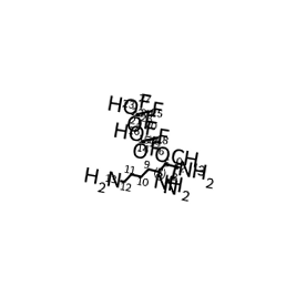 CC(N)(C#N)C(=O)[C@@H](N)CCCCN.O=C(O)C(F)(F)F.O=C(O)C(F)(F)F